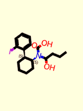 CCCC(O)N(C(=O)O)[C@H]1CCCC[C@H]1c1ccccc1I